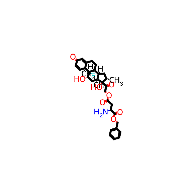 C[C@@H]1C[C@H]2[C@@H]3CCC4=CC(=O)C=C[C@]4(C)[C@@]3(F)[C@@H](O)C[C@]2(C)[C@@]1(O)C(=O)COC(=O)C[C@H](N)C(=O)OCc1ccccc1